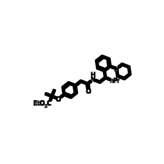 CCCC(CNC(=O)Cc1ccc(OC(C)(C)C(=O)OCC)cc1)c1ccccc1N1CCCCC1